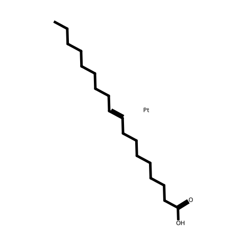 CCCCCCCCC=CCCCCCCCC(=O)O.[Pt]